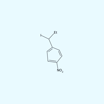 CCC(I)c1ccc([N+](=O)[O-])cc1